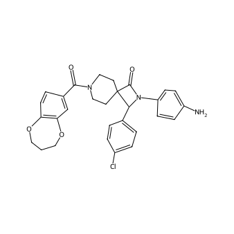 Nc1ccc(N2C(=O)C3(CCN(C(=O)c4ccc5c(c4)OCCCO5)CC3)C2c2ccc(Cl)cc2)cc1